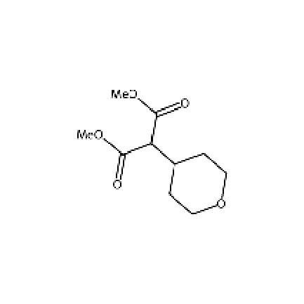 COC(=O)C(C(=O)OC)C1CCOCC1